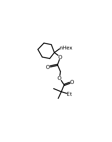 CCCCCCC1(OC(=O)COC(=O)C(C)(C)CC)CCCCC1